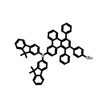 CC(C)(C)c1ccc(-c2cc(-c3ccccc3)c3c4ccccc4c4cc(N(c5ccc6c(c5)C(C)(C)c5ccccc5-6)c5ccc6c(c5)C(C)(C)c5ccccc5-6)ccc4c3c2-c2ccccc2)cc1